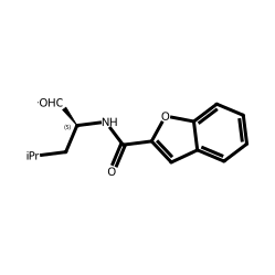 CC(C)C[C@@H]([C]=O)NC(=O)c1cc2ccccc2o1